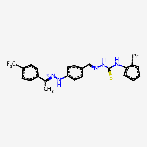 C/C(=N\Nc1ccc(C=NNC(=S)Nc2ccccc2C(C)C)cc1)c1ccc(C(F)(F)F)cc1